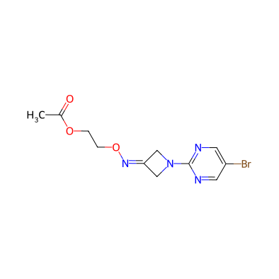 CC(=O)OCCON=C1CN(c2ncc(Br)cn2)C1